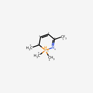 CC1C=CC(C(F)(F)F)=N[PH]1(C)C